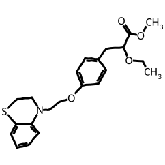 CCOC(Cc1ccc(OCCN2CCSc3ccccc32)cc1)C(=O)OC